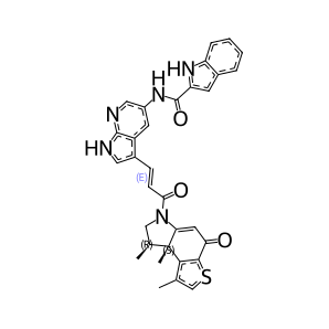 Cc1csc2c1[C@@]1(C)C(=CC2=O)N(C(=O)/C=C/c2c[nH]c3ncc(NC(=O)c4cc5ccccc5[nH]4)cc23)C[C@@H]1C